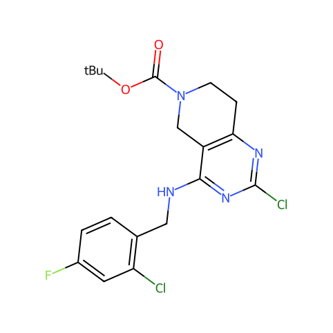 CC(C)(C)OC(=O)N1CCc2nc(Cl)nc(NCc3ccc(F)cc3Cl)c2C1